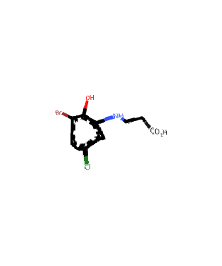 O=C(O)CCNc1cc(Cl)cc(Br)c1O